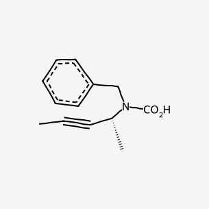 CC#C[C@@H](C)N(Cc1ccccc1)C(=O)O